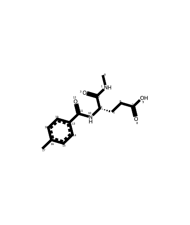 CNC(=O)[C@H](CCC(=O)O)NC(=O)c1ccc(C)cc1